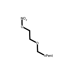 CCCCCCOCCO[N+](=O)[O-]